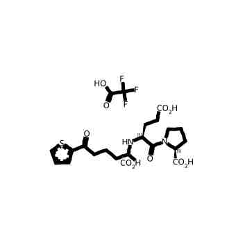 O=C(O)C(F)(F)F.O=C(O)CC[C@H](NC(CCCC(=O)c1cccs1)C(=O)O)C(=O)N1CCC[C@H]1C(=O)O